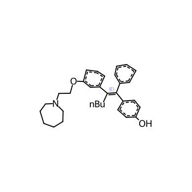 CCCC/C(=C(/c1ccccc1)c1ccc(O)cc1)c1cccc(OCCN2CCCCCC2)c1